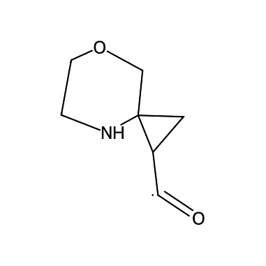 O=[C]C1CC12COCCN2